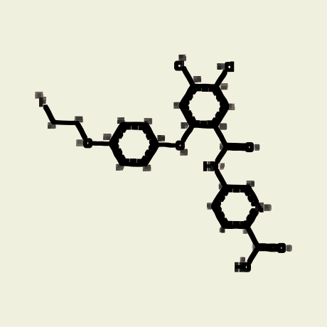 O=C(O)c1ccc(NC(=O)c2cc(Cl)c(Cl)cc2Oc2ccc(OCCF)cc2)cn1